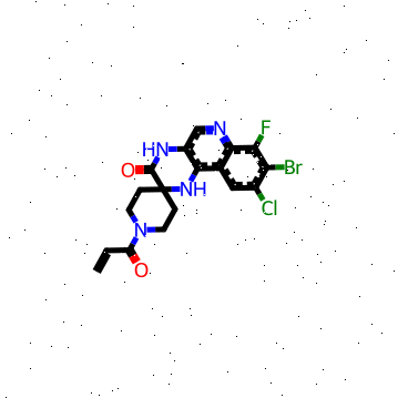 C=CC(=O)N1CCC2(CC1)Nc1c(cnc3c(F)c(Br)c(Cl)cc13)NC2=O